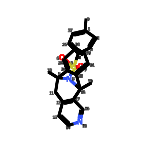 Cc1ccc(S(=O)(=O)N2C3(C)Cc4ccncc4C2(C)c2ccccc23)cc1